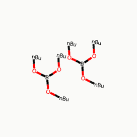 CCCCOB(OCCCC)OCCCC.CCCCOB(OCCCC)OCCCC